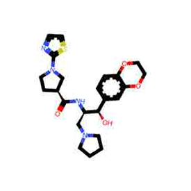 O=C(N[C@H](CN1CCCC1)[C@H](O)c1ccc2c(c1)OCCO2)[C@H]1CCN(c2nccs2)C1